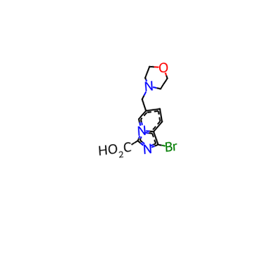 O=C(O)c1nc(Br)c2ccc(CN3CCOCC3)cn12